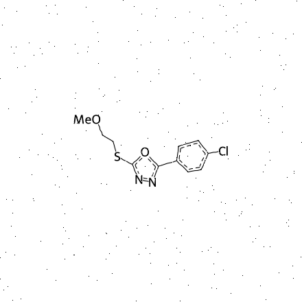 COCCSc1nnc(-c2ccc(Cl)cc2)o1